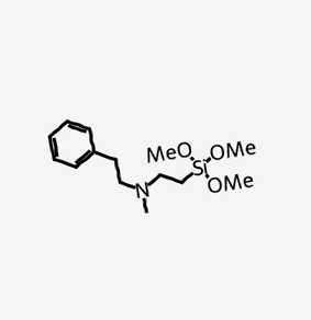 CO[Si](CCN(C)CCc1ccccc1)(OC)OC